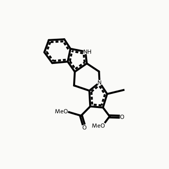 COC(=O)c1c(C(=O)OC)c2n(c1C)Cc1[nH]c3ccccc3c1C2